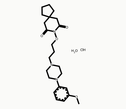 COc1cccc(N2CCN(CCCON3C(=O)CC4(CCCC4)CC3=O)CC2)c1.Cl.O